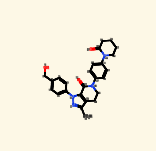 O=C(O)c1nn(-c2ccc(CO)cc2)c2c1CCN(c1ccc(N3CCCCC3=O)cc1)C2=O